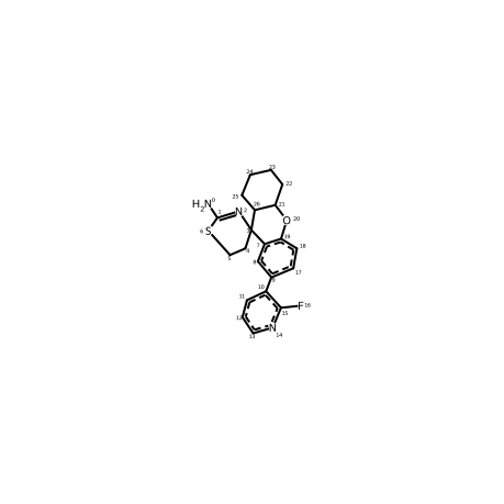 NC1=NC2(CCS1)c1cc(-c3cccnc3F)ccc1OC1CCCCC12